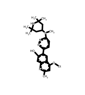 CCOc1cc(C)nc2cc(O)c(-c3ccc(N(C)C4CC(C)(C)NC(C)(C)C4)nn3)cc12